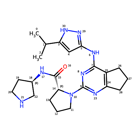 CC(C)c1cc(Nc2nc(N3CCC[C@@H]3C(=O)N[C@@H]3CCNC3)nc3c2CCC3)n[nH]1